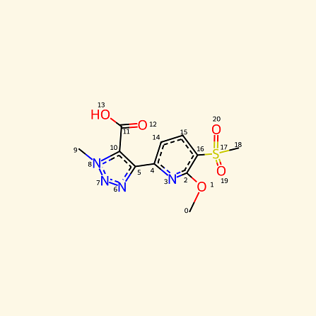 COc1nc(-c2nnn(C)c2C(=O)O)ccc1S(C)(=O)=O